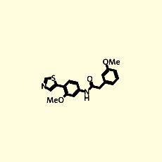 COc1cccc(CC(=O)Nc2ccc(-c3cncs3)c(OC)c2)c1